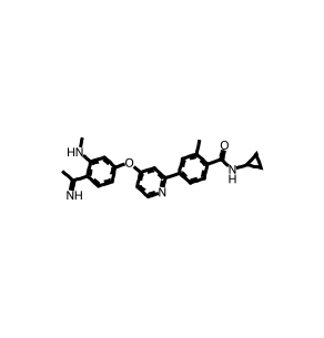 CNc1cc(Oc2ccnc(-c3ccc(C(=O)NC4CC4)c(C)c3)c2)ccc1C(C)=N